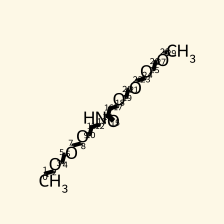 CCCOCCOCCOCCCNC(=O)CCOCCOCCOCCOCC